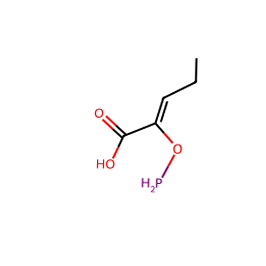 CCC=C(OP)C(=O)O